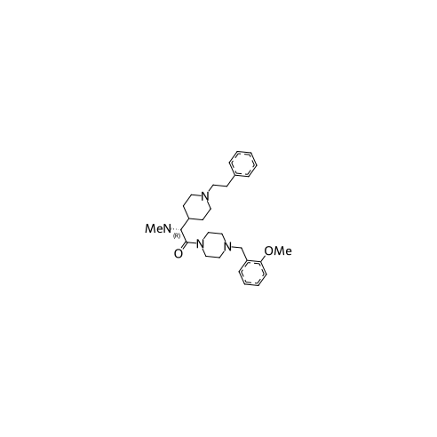 CN[C@@H](C(=O)N1CCN(Cc2ccccc2OC)CC1)C1CCN(CCc2ccccc2)CC1